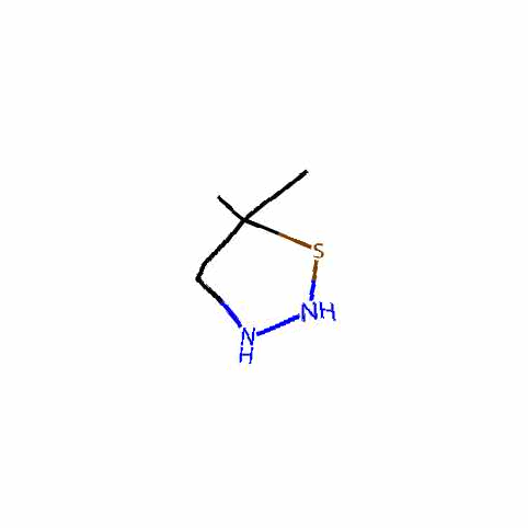 CC1(C)CNNS1